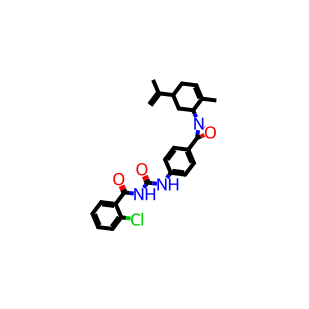 C=C(C)C1CC=C(C)C(N2OC2c2ccc(NC(=O)NC(=O)c3ccccc3Cl)cc2)C1